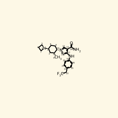 C[C@H]1C[C@@H](N2CCC2)CC[C@@H]1n1cc(C(N)=O)c(Nc2ccc(CC(F)(F)F)cc2)n1